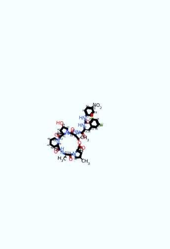 C[C@@H]1C[C@H]2C(=O)O[C@@H](C)[C@H](NC(=O)[C@H](Cc3cc(F)cc(F)c3)NC(=O)Nc3ccc([N+](=O)[O-])cc3)C(=O)N3C[C@H](O)C[C@H]3C(=O)N3CCCC[C@H]3C(=O)N[C@@H](C)C(=O)N2C1